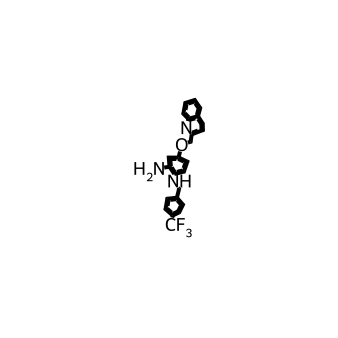 Nc1cc(OCc2ccc3ccccc3n2)ccc1NCc1ccc(C(F)(F)F)cc1